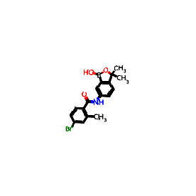 Cc1cc(Br)ccc1C(=O)Nc1ccc2c(c1)B(O)OC2(C)C